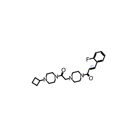 O=C(/C=C/c1ccccc1F)N1CCN(CC(=O)N2CCN(C3CCC3)CC2)CC1